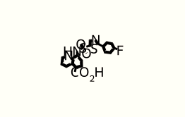 O=C(O)c1ccc(NS(=O)(=O)c2cnc(-c3ccc(F)cc3)s2)c2ncccc12